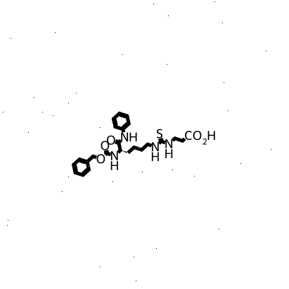 O=C(O)CCNC(=S)NCCCC[C@H](NC(=O)OCc1ccccc1)C(=O)Nc1ccccc1